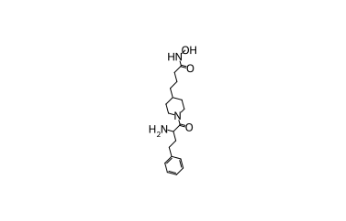 NC(CCc1ccccc1)C(=O)N1CCC(CCCC(=O)NO)CC1